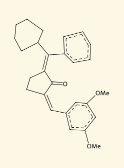 COc1cc(C=C2CCC(=C(c3ccccc3)C3CCCCC3)C2=O)cc(OC)c1